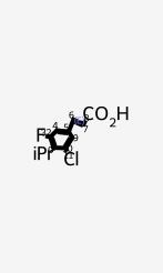 CC(C)c1c(F)cc(/C=C/C(=O)O)cc1Cl